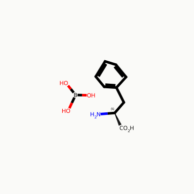 N[C@@H](Cc1ccccc1)C(=O)O.OB(O)O